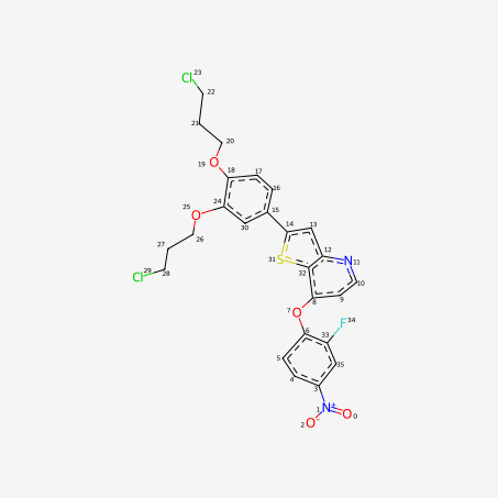 O=[N+]([O-])c1ccc(Oc2ccnc3cc(-c4ccc(OCCCCl)c(OCCCCl)c4)sc23)c(F)c1